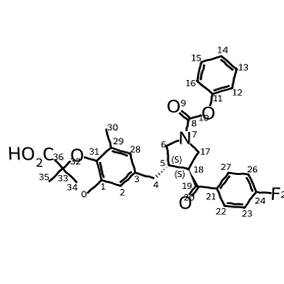 Cc1cc(C[C@@H]2CN(C(=O)Oc3ccccc3)C[C@H]2C(=O)c2ccc(F)cc2)cc(C)c1OC(C)(C)C(=O)O